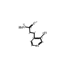 CCc1cnccc1CCC(=O)OC